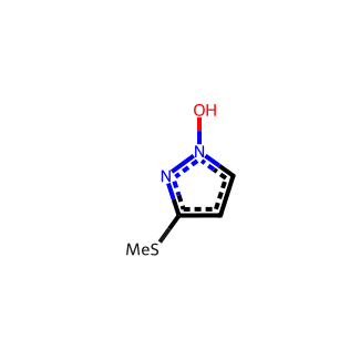 CSc1ccn(O)n1